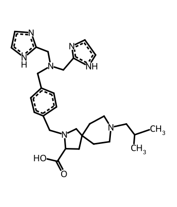 CC(C)CN1CCC2(CC1)CC(C(=O)O)N(Cc1ccc(CN(Cc3ncc[nH]3)Cc3ncc[nH]3)cc1)C2